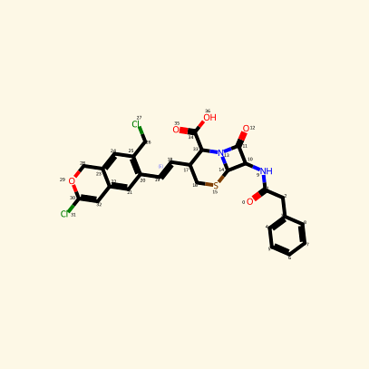 O=C(Cc1ccccc1)NC1C(=O)N2C1SCC(/C=C/c1cc3c(cc1CCl)COC(Cl)=C3)C2C(=O)O